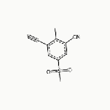 Cc1c(C#N)cc(S(C)(=O)=O)cc1C#I